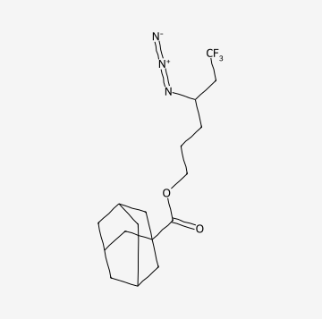 [N-]=[N+]=NC(CCCOC(=O)C12CC3CC(CC(C3)C1)C2)CC(F)(F)F